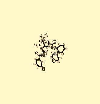 CC(C)(C)n1nc(C(=O)N[C@@H]2CCCC[C@H]2N2CCOCC2)c2sc(NC(=O)c3cccc(Cl)c3)nc21